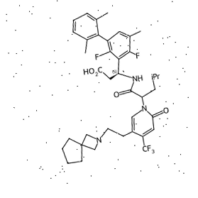 Cc1cc(-c2c(C)cccc2C)c(F)c([C@H](CC(=O)O)NC(=O)C(CC(C)C)n2cc(CCN3CC4(CCCC4)C3)c(C(F)(F)F)cc2=O)c1F